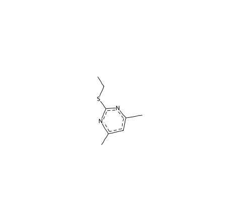 CCSc1nc(C)cc(C)n1